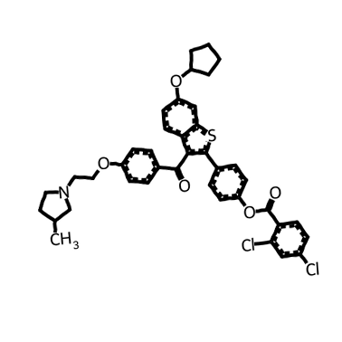 CC1CCN(CCOc2ccc(C(=O)c3c(-c4ccc(OC(=O)c5ccc(Cl)cc5Cl)cc4)sc4cc(OC5CCCC5)ccc34)cc2)C1